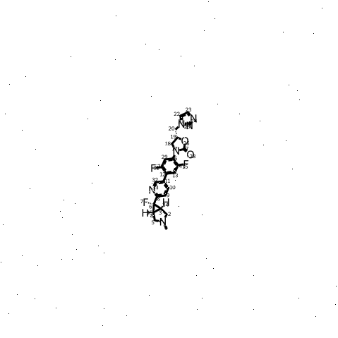 CN1C[C@@H]2[C@H](C1)[C@@]2(F)c1ccc(-c2cc(F)c(N3C[C@H](Cn4ccnn4)OC3=O)cc2F)cn1